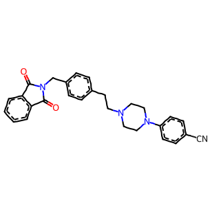 N#Cc1ccc(N2CCN(CCc3ccc(CN4C(=O)c5ccccc5C4=O)cc3)CC2)cc1